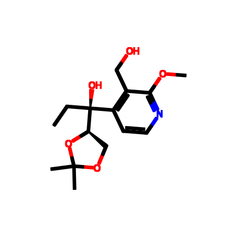 CC[C@](O)(c1ccnc(OC)c1CO)[C@H]1COC(C)(C)O1